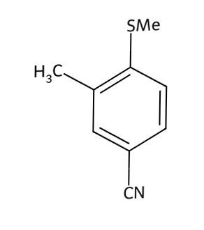 CSc1ccc(C#N)cc1C